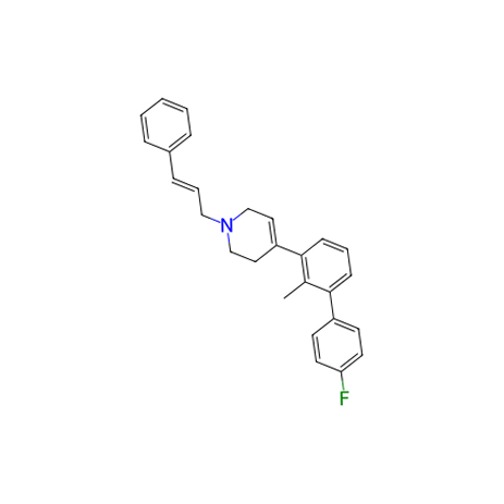 Cc1c(C2=CCN(CC=Cc3ccccc3)CC2)cccc1-c1ccc(F)cc1